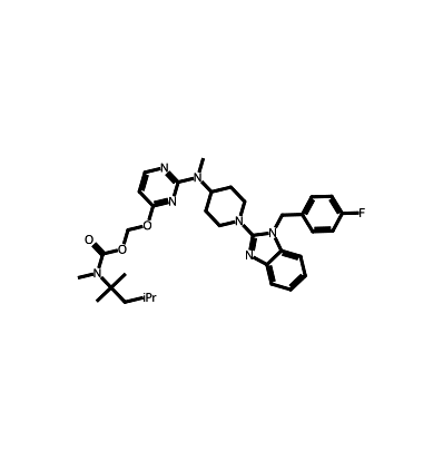 CC(C)CC(C)(C)N(C)C(=O)OCOc1ccnc(N(C)C2CCN(c3nc4ccccc4n3Cc3ccc(F)cc3)CC2)n1